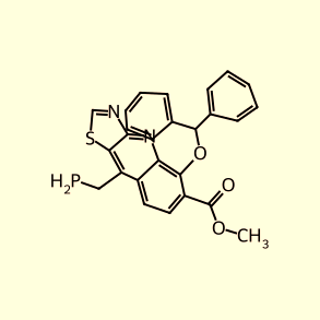 COC(=O)c1ccc2c(CP)c3scnc3nc2c1OC(c1ccccc1)c1ccccc1